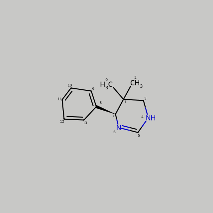 CC1(C)CNC=N[C@H]1c1ccccc1